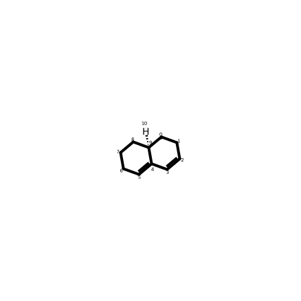 [CH]1CC=CC2=CCCC[C@@H]12